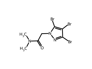 CN(C)C(=O)Cn1nc(Br)c(Br)c1Br